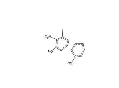 Cc1cccc(O)c1[N+](=O)[O-].Oc1ccccc1